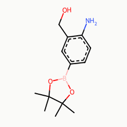 CC1(C)OB(c2ccc(N)c(CO)c2)OC1(C)C